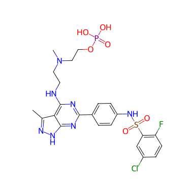 Cc1n[nH]c2nc(-c3ccc(NS(=O)(=O)c4cc(Cl)ccc4F)cc3)nc(NCCN(C)CCOP(=O)(O)O)c12